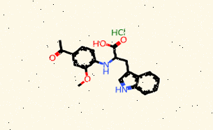 COc1cc(C(C)=O)ccc1NC(Cc1c[nH]c2ccccc12)C(=O)O.Cl